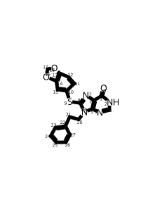 O=c1[nH]cnc2c1nc(Sc1ccc3c(c1)OCO3)n2CCc1ccccc1